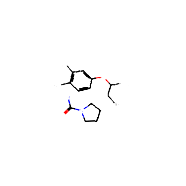 CC(C)CC(Oc1ccc(C#N)c(C(F)(F)F)c1)C(=O)O.NC(=O)N1CCCC1